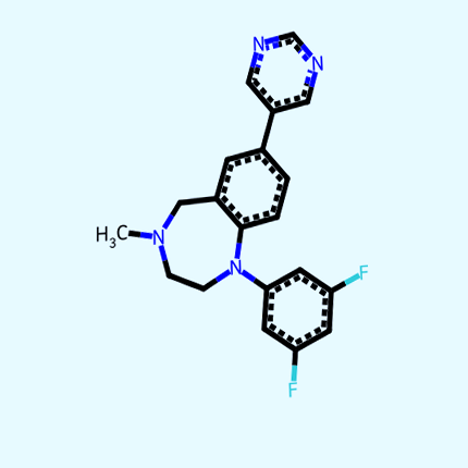 CN1CCN(c2cc(F)cc(F)c2)c2ccc(-c3cncnc3)cc2C1